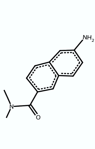 CN(C)C(=O)c1ccc2cc(N)ccc2c1